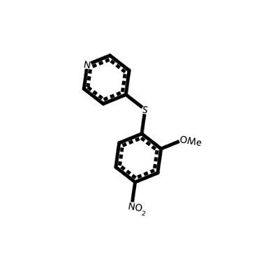 COc1cc([N+](=O)[O-])ccc1Sc1ccncc1